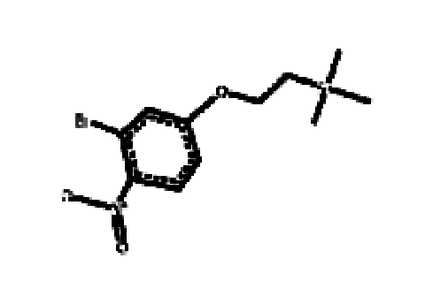 C[Si](C)(C)CCOc1ccc([N+](=O)[O-])c(Br)c1